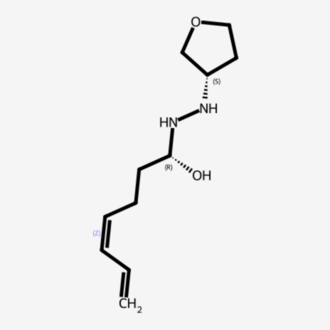 C=C/C=C\CC[C@@H](O)NN[C@H]1CCOC1